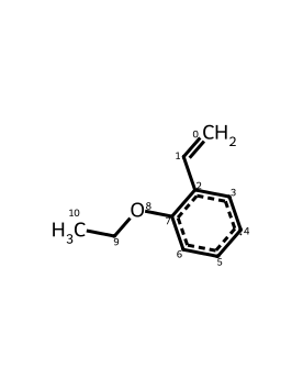 C=Cc1c[c]ccc1OCC